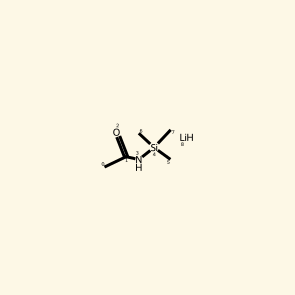 CC(=O)N[Si](C)(C)C.[LiH]